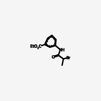 CCOC(=O)c1cccc(NC(=O)C(C)Br)c1